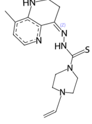 C=CN1CCN(C(=S)N/N=C2/CCNc3c(C)ccnc32)CC1